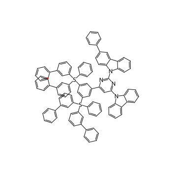 c1ccc(-c2cccc(S(c3ccccc3)(c3cccc(-c4ccccc4)c3)c3cc(-c4cc(-n5c6ccccc6c6ccccc65)nc(-n5c6ccccc6c6cc(-c7ccccc7)ccc65)n4)cc(S(c4ccccc4)(c4cccc(-c5ccccc5)c4)c4cccc(-c5ccccc5)c4)c3)c2)cc1